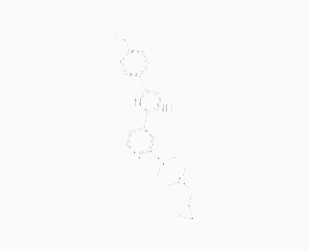 Clc1ccc(-c2c[nH]c(-c3ccnc(N4CCN(CC5CC5)CC4)c3)n2)cc1